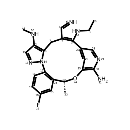 CCN/C1=C(\C=N)Cc2c(NC)cnn2-c2ccc(F)cc2[C@@H](C)Oc2cc1cnc2N